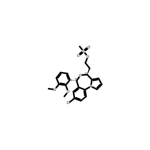 COc1cccc([C@@H]2O[C@@H](CCOS(C)(=O)=O)c3cccn3-c3ccc(Cl)cc32)c1OC